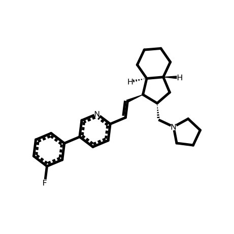 Fc1cccc(-c2ccc(C=C[C@@H]3[C@@H](CN4CCCC4)C[C@H]4CCCC[C@@H]43)nc2)c1